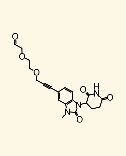 Cn1c(=O)n(C2CCC(=O)NC2=O)c2ccc(C#CCOCCOCC=O)cc21